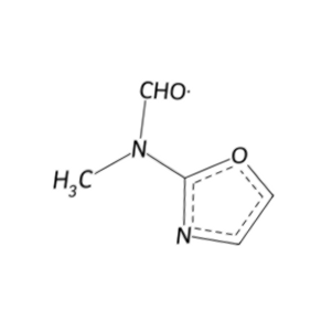 CN([C]=O)c1ncco1